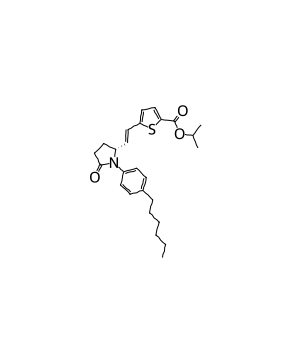 CCCCCCc1ccc(N2C(=O)CC[C@@H]2C=Cc2ccc(C(=O)OC(C)C)s2)cc1